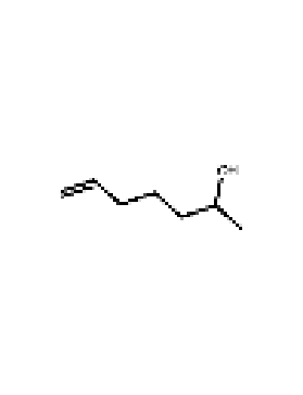 C=CCC[CH]C(C)O